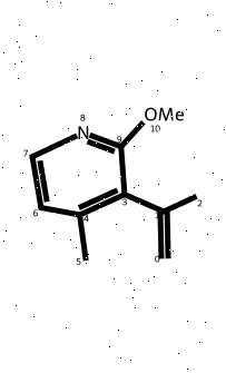 C=C(C)c1c(C)ccnc1OC